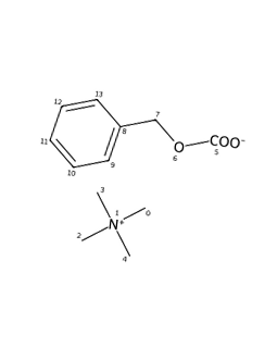 C[N+](C)(C)C.O=C([O-])OCc1ccccc1